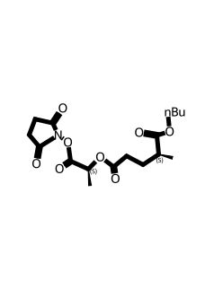 CCCCOC(=O)[C@@H](C)CCC(=O)O[C@@H](C)C(=O)ON1C(=O)CCC1=O